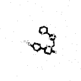 COc1ccc(-c2ccc(=O)n(Cc3nc(-c4ccccn4)no3)n2)cc1